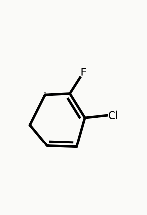 FC1=C(Cl)C=CC[CH]1